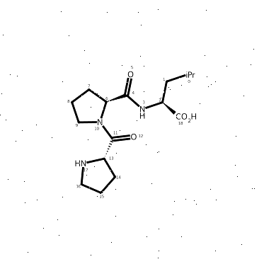 CC(C)C[C@H](NC(=O)[C@@H]1CCCN1C(=O)[C@@H]1CCCN1)C(=O)O